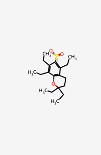 CCc1c(CC)c([SH](=O)=O)c(CC)c2c1OC(CC)(CC)CC2